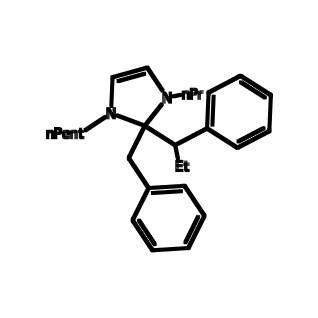 CCCCCN1C=CN(CCC)C1(Cc1ccccc1)C(CC)c1ccccc1